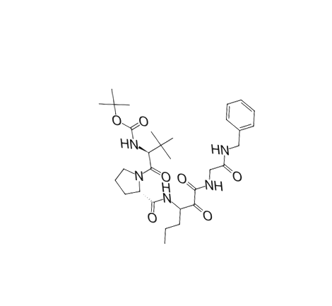 CCCC(NC(=O)[C@@H]1CCCN1C(=O)[C@@H](NC(=O)OC(C)(C)C)C(C)(C)C)C(=O)C(=O)NCC(=O)NCc1ccccc1